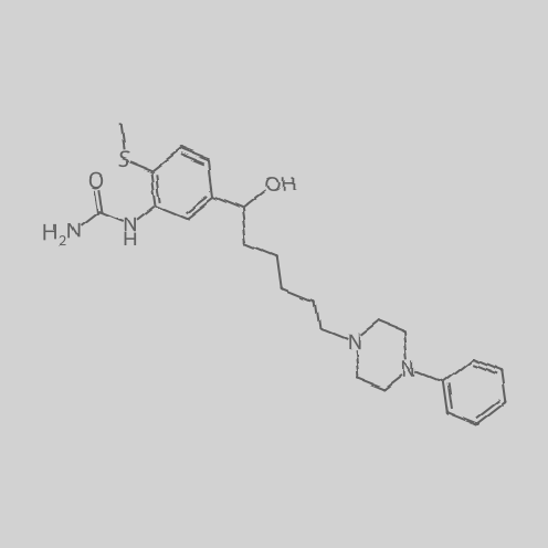 CSc1ccc(C(O)CCCCCN2CCN(c3ccccc3)CC2)cc1NC(N)=O